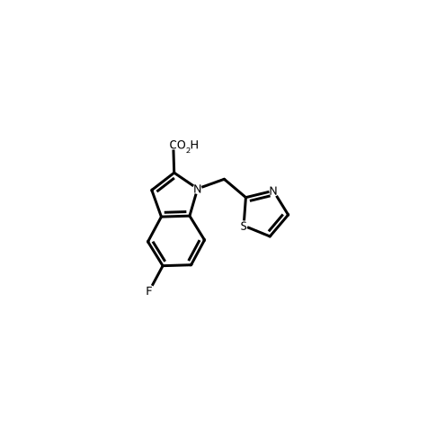 O=C(O)c1cc2cc(F)ccc2n1Cc1nccs1